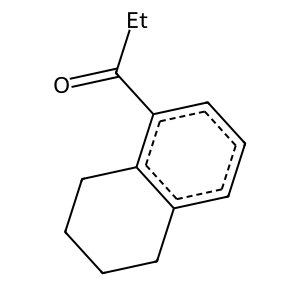 CCC(=O)c1cccc2c1CCCC2